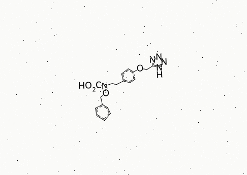 O=C(O)N(CCc1ccc(OCc2nnn[nH]2)cc1)OCc1ccccc1